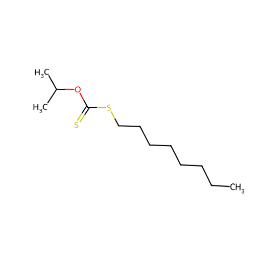 CCCCCCCCSC(=S)OC(C)C